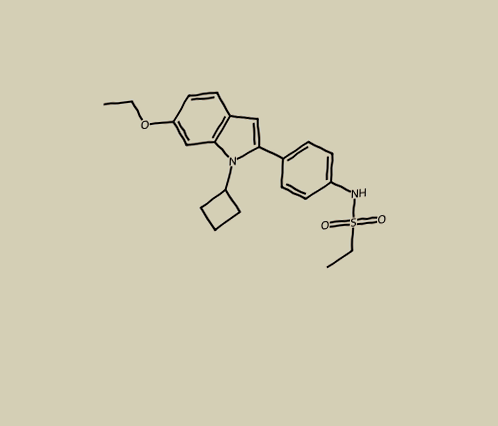 CCOc1ccc2cc(-c3ccc(NS(=O)(=O)CC)cc3)n(C3CCC3)c2c1